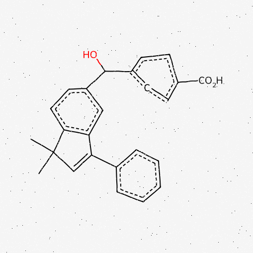 CC1(C)C=C(c2ccccc2)c2cc(C(O)c3ccc(C(=O)O)cc3)ccc21